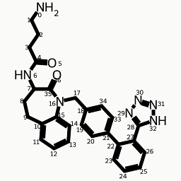 NCCCC(=O)NC1CCc2ccccc2N(Cc2ccc(-c3ccccc3-c3nnn[nH]3)cc2)C1=O